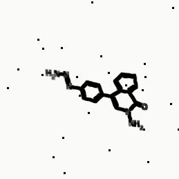 NN=Nc1ccc(-c2cn(N)c(=O)c3ccccc23)cc1